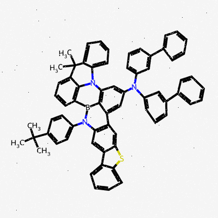 CC(C)(C)c1ccc(N2B3c4cccc5c4N(c4ccccc4C5(C)C)c4cc(N(c5cccc(-c6ccccc6)c5)c5cccc(-c6ccccc6)c5)cc(c43)-c3cc4sc5ccccc5c4cc32)cc1